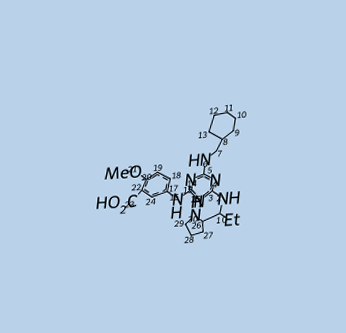 CCC(Nc1nc(NCC2CCCCC2)nc(Nc2ccc(OC)c(C(=O)O)c2)n1)C1CCCN1